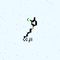 Cc1ccc(SCCCCCC(=O)O)cc1Cl